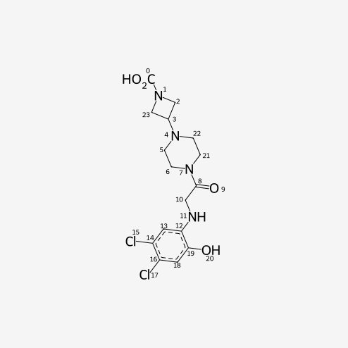 O=C(O)N1CC(N2CCN(C(=O)CNc3cc(Cl)c(Cl)cc3O)CC2)C1